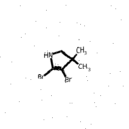 CC1(C)CNC(Br)=C1Br